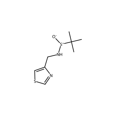 CC(C)(C)[S+]([O-])NCc1cscn1